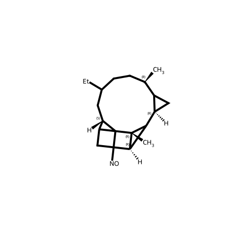 CCC1CC[C@@H](C)C2C[C@H]2C2[C@H]3C4(N=O)CC5[C@H](C1)C54[C@]23C